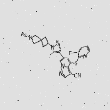 CC(=O)N1CC2(CC(n3ncc(-c4cc(Sc5ncccc5F)c5c(C#N)cnn5c4)c3C)C2)C1